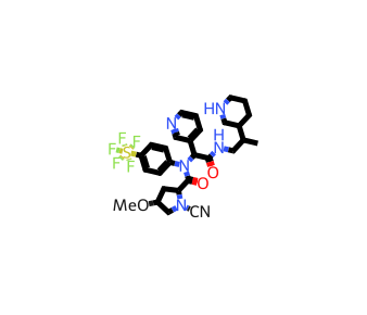 COC1CC(C(=O)N(c2ccc(S(F)(F)(F)(F)F)cc2)C(C(=O)NCC(C)C2CCCNC2)c2cccnc2)N(C#N)C1